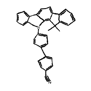 CC1(C)c2ccccc2-c2ccc3c4ccccc4n(-c4ccc(-c5ccc(C#N)cc5)cc4)c3c21